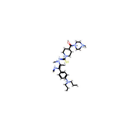 C=N/C(=C(/C)N(C)/N=C(\S)N1CCC(C(=O)N2CCN(C)CC2)CC1)c1ccc(N(CCC)CCC)cc1